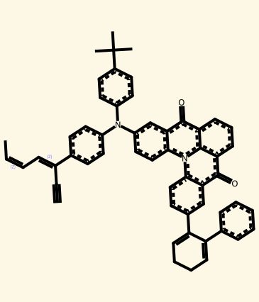 C#C/C(=C\C=C/C)c1ccc(N(c2ccc(C(C)(C)C)cc2)c2ccc3c(c2)c(=O)c2cccc4c(=O)c5cc(C6=CCCC=C6c6ccccc6)ccc5n3c42)cc1